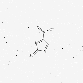 O=[N+]([O-])C1=NC(=[Se])N=C1